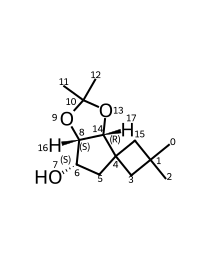 CC1(C)CC2(C[C@H](O)[C@@H]3OC(C)(C)O[C@@H]32)C1